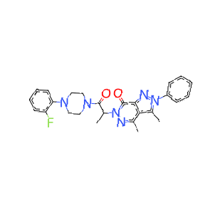 Cc1nn(C(C)C(=O)N2CCN(c3ccccc3F)CC2)c(=O)c2nn(-c3ccccc3)c(C)c12